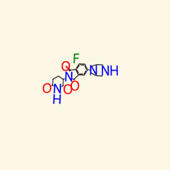 O=C1CCC(N2C(=O)c3cc(N4C5CCC4CNC5)cc(F)c3C2=O)C(=O)N1